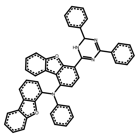 c1ccc(C2=NC(c3ccccc3)NC(c3ccc(N(c4ccccc4)c4cccc5c4oc4ccccc45)c4c3oc3ccccc34)=N2)cc1